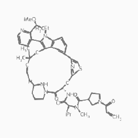 C=CC(=O)N1CC[C@H](C(=O)N(C)C(C(=O)N[C@H]2Cc3nc(cs3)-c3ccc4c(c3)c(c(-c3cccnc3[C@H](C)OC)n4CC)CC(C)(C)CCC[C@@H]3CCCN(N3)C2=O)C(C)C)C1